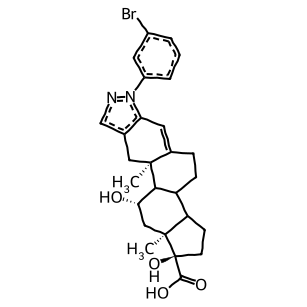 C[C@]12Cc3cnn(-c4cccc(Br)c4)c3C=C1CCC1C2[C@@H](O)C[C@@]2(C)C1CC[C@]2(O)C(=O)O